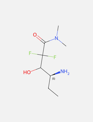 CC[C@H](N)C(O)C(F)(F)C(=O)N(C)C